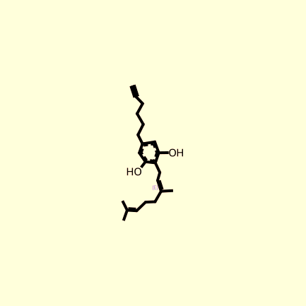 C#CCCCCc1cc(O)c(C/C=C(\C)CCC=C(C)C)c(O)c1